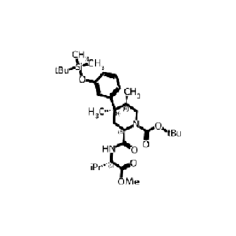 COC(=O)[C@@H](NC(=O)[C@H]1C[C@@](C)(c2cccc(O[Si](C)(C)C(C)(C)C)c2)[C@@H](C)CN1C(=O)OC(C)(C)C)C(C)C